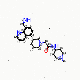 C[C@@H]1C[C@H](c2ccc(C=N)c3ncccc23)CN(CC(=O)NC2CCN(C)CC2)C1